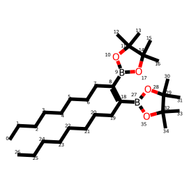 CCCCCCCC/C(B1OC(C)(C)C(C)(C)O1)=C(\CCCCCCCC)B1OC(C)(C)C(C)(C)O1